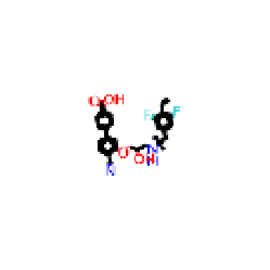 CCc1c(F)cc(CC(C)(C)NC[C@@H](O)COc2cc(-c3ccc(C(=O)O)cc3)ccc2C#N)cc1F